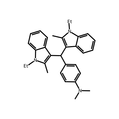 CCn1c(C)c(C(c2ccc(N(C)C)cc2)c2c(C)n(CC)c3ccccc23)c2ccccc21